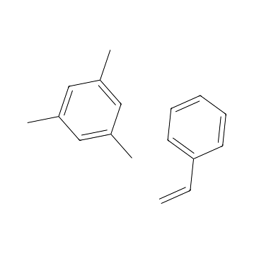 C=Cc1ccccc1.Cc1cc(C)cc(C)c1